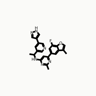 Cc1nc(NC(C)c2cncc(-c3cn[nH]c3)c2)cc(-c2cc(F)c3occ(C)c3c2)n1